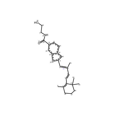 CC1=C(C=C/C(C)=C/c2cc3ccc(C(=O)NCCO)cc3s2)C(C)(C)CCC1